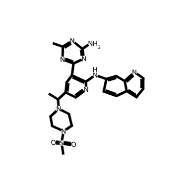 Cc1nc(N)nc(-c2cc(C(C)N3CCN(S(C)(=O)=O)CC3)cnc2Nc2ccc3cccnc3c2)n1